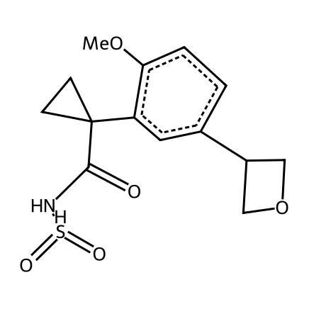 COc1ccc(C2COC2)cc1C1(C(=O)N[SH](=O)=O)CC1